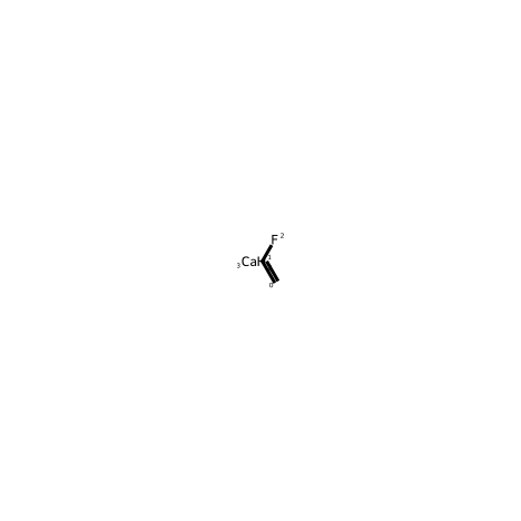 C=CF.[CaH2]